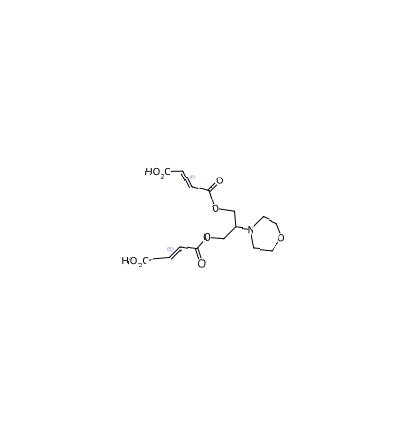 O=C(O)/C=C/C(=O)OCC(COC(=O)/C=C/C(=O)O)N1CCOCC1